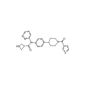 O=C(c1ccsc1)N1CCC(c2ccc(N(C(=O)C3CNC3)c3cccnn3)cc2)CC1